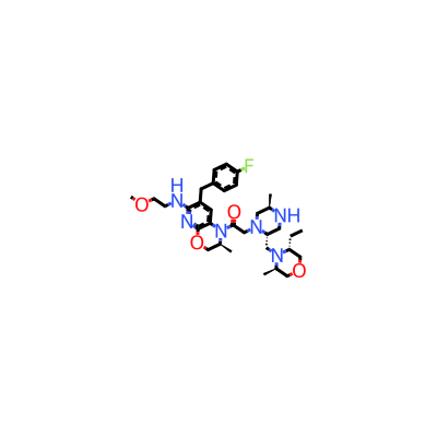 CC[C@@H]1COC[C@@H](C)N1C[C@H]1CN[C@H](C)CN1CC(=O)N1c2cc(Cc3ccc(F)cc3)c(NCCOC)nc2OC[C@@H]1C